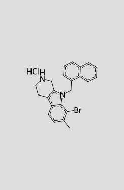 Cc1ccc2c3c(n(Cc4cccc5ccccc45)c2c1Br)CNCC3.Cl